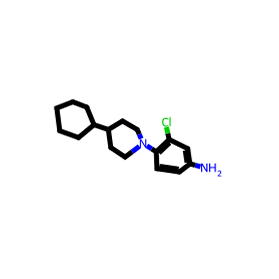 Nc1ccc(N2CCC(C3CCCCC3)CC2)c(Cl)c1